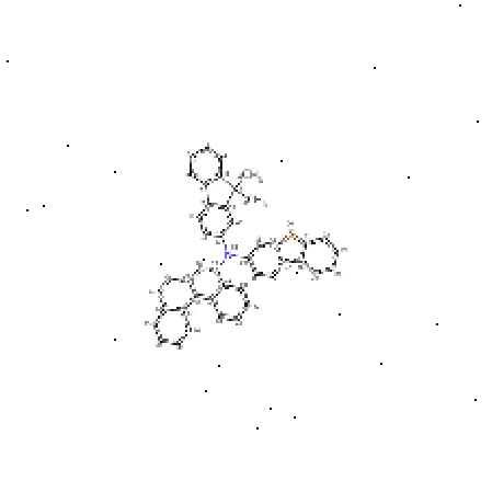 CC1(C)c2ccccc2-c2ccc(N(c3ccc4c(c3)sc3ccccc34)c3cc4ccc5ccccc5c4c4ccccc34)cc21